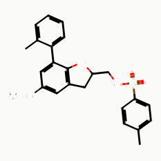 COc1cc2c(c(-c3ccccc3C)c1)OC(COS(=O)(=O)c1ccc(C)cc1)C2